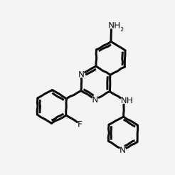 Nc1ccc2c(Nc3ccncc3)nc(-c3ccccc3F)nc2c1